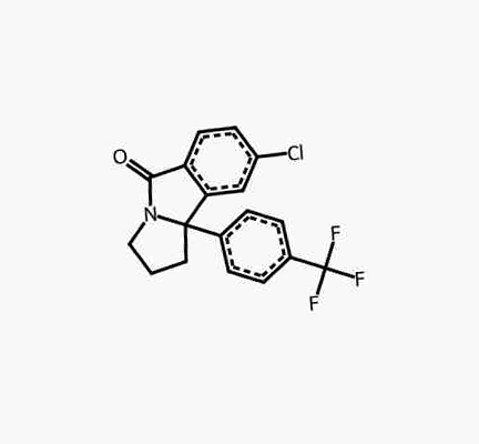 O=C1c2ccc(Cl)cc2C2(c3ccc(C(F)(F)F)cc3)CCCN12